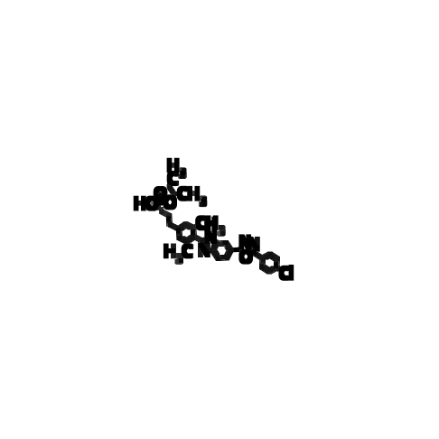 CCC(C)OP(=O)(O)CC=Cc1cc(C)c(-c2nc3ccc(-c4nnc(-c5ccc(Cl)cc5)o4)cc3[nH]2)c(C)c1